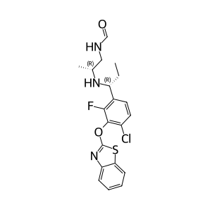 CC[C@@H](N[C@H](C)CNC=O)c1ccc(Cl)c(Oc2nc3ccccc3s2)c1F